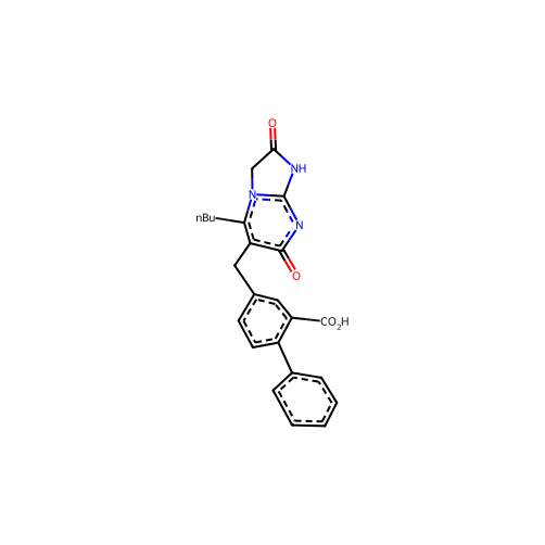 CCCCc1c(Cc2ccc(-c3ccccc3)c(C(=O)O)c2)c(=O)nc2n1CC(=O)N2